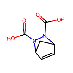 O=C(O)N1C2C=CC(C2)N1C(=O)O